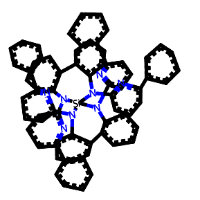 c1ccc(-c2cccc(N3c4ccccc4-c4ccccc4N(c4cccc(-c5ccccc5)n4)[Si]34N(c3cccc(-c5ccccc5)n3)c3ccccc3-c3ccccc3N4c3cccc(-c4ccccc4)n3)n2)cc1